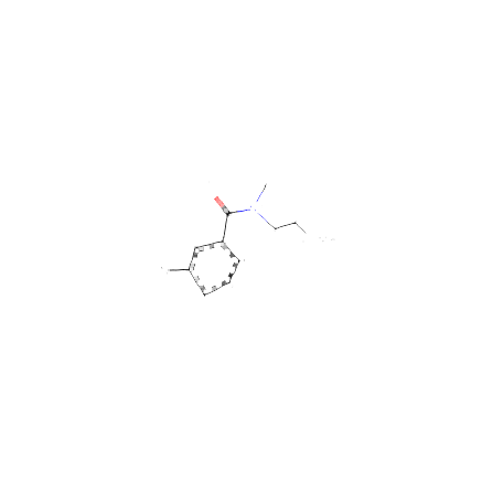 COCCN(C)C(=O)c1cccc([N+](=O)[O-])c1